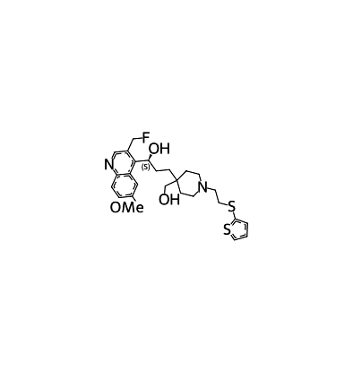 COc1ccc2ncc(CF)c([C@@H](O)CCC3(CO)CCN(CCSc4cccs4)CC3)c2c1